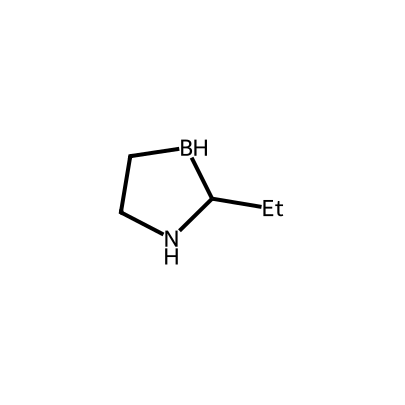 CCC1BCCN1